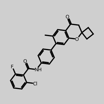 Cc1cc2c(cc1-c1ccc(NC(=O)c3c(F)cccc3Cl)cc1)OC1(CCC1)CC2=O